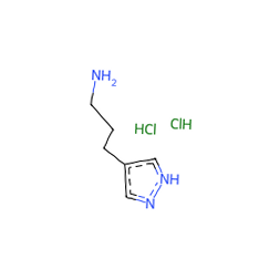 Cl.Cl.NCCCc1cn[nH]c1